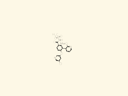 COc1ncccc1-c1cc(C(=O)NS(C)(=O)=O)ccc1Oc1cncc(Cl)c1